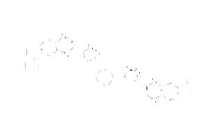 FC(F)(F)c1ccc2ncc(-c3nnc(-c4cccc(-c5nnc(-c6cnc7ccc(C(F)(F)F)cc7n6)o5)c4)o3)nc2c1